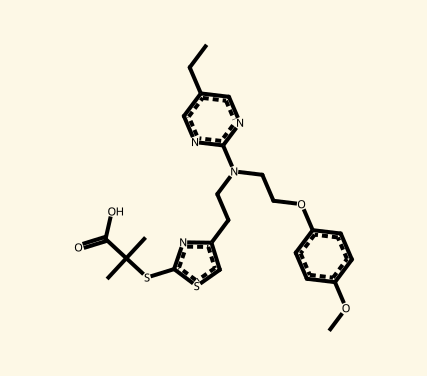 CCc1cnc(N(CCOc2ccc(OC)cc2)CCc2csc(SC(C)(C)C(=O)O)n2)nc1